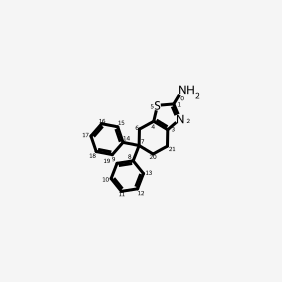 Nc1nc2c(s1)CC(c1ccccc1)(c1ccccc1)CC2